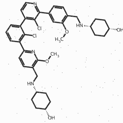 COc1cc(-c2nccc(-c3cccc(-c4ccc(CN[C@H]5CC[C@@H](O)CC5)c(OC)n4)c3Cl)c2Cl)ccc1CN[C@H]1CC[C@@H](O)CC1